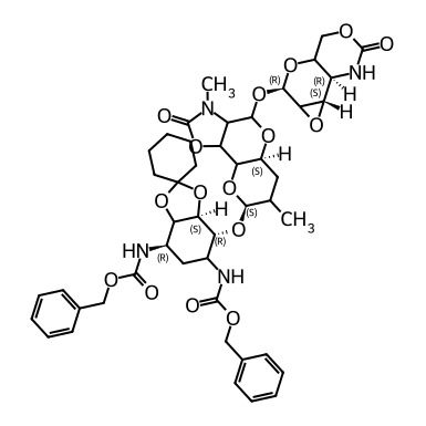 CC1C[C@@H]2OC(O[C@H]3OC4COC(=O)N[C@H]4[C@@H]4OC34)C3C(OC(=O)N3C)C2O[C@@H]1O[C@@H]1C(NC(=O)OCc2ccccc2)C[C@@H](NC(=O)OCc2ccccc2)C2OC3(CCCCC3)O[C@H]21